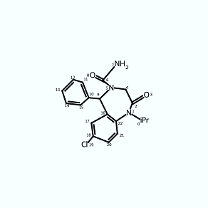 CC(C)N1C(=O)CN(C(N)=O)C(c2ccccc2)c2cc(Cl)ccc21